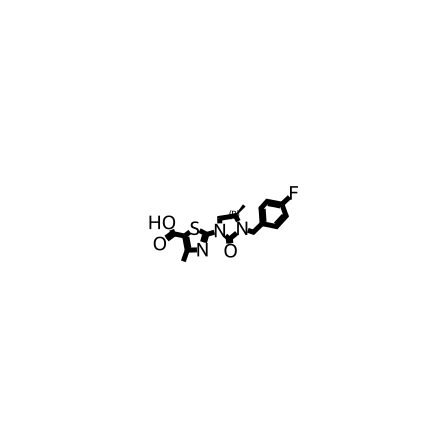 Cc1nc(N2C[C@@H](C)N(Cc3ccc(F)cc3)C2=O)sc1C(=O)O